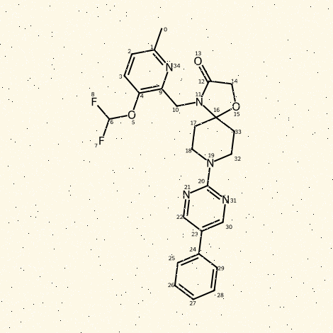 Cc1ccc(OC(F)F)c(CN2C(=O)COC23CCN(c2ncc(-c4ccccc4)cn2)CC3)n1